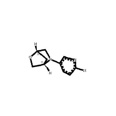 CCc1ccc(N2C[C@@H]3C[C@H]2CO3)cn1